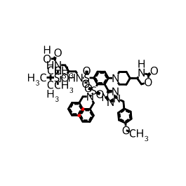 COc1ccc(Cn2nnc(-c3c(N4CCC(C5COC(=O)N5)CC4)ccc(S(=O)(=O)NCC(CNC(=O)O)O[Si](C)(C)C(C)(C)C)c3S(=O)(=O)N(Cc3ccccc3)Cc3ccccc3)n2)cc1